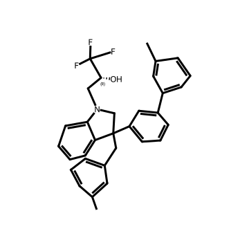 Cc1cccc(CC2(c3cccc(-c4cccc(C)c4)c3)CN(C[C@@H](O)C(F)(F)F)c3ccccc32)c1